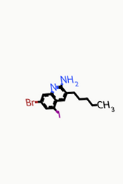 CCCCCc1cc2c(I)cc(Br)cc2nc1N